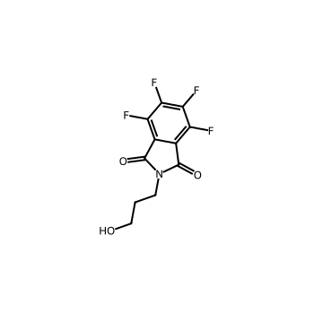 O=C1c2c(F)c(F)c(F)c(F)c2C(=O)N1CCCO